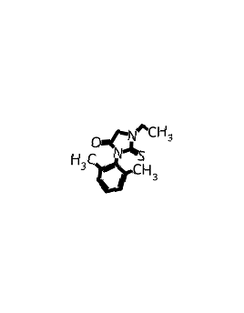 CCN1CC(=O)N(c2c(C)cccc2C)C1=S